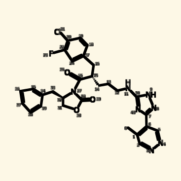 Cc1cnncc1-c1n[nH]c(NCCC[C@@H](Cc2ccc(Cl)c(F)c2)C(=O)N2C(=O)OC[C@H]2Cc2ccccc2)n1